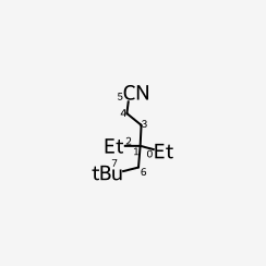 CCC(CC)(CCC#N)CC(C)(C)C